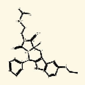 CCOc1ccc2[nH]c3c(c2c1)C[C@@]1(C)C(=O)N(CCNC(C)C)C(=O)N1[C@@H]3c1ccccc1